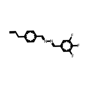 C=CCc1ccc(/C=N/N=C/c2cc(F)c(F)c(F)c2)cc1